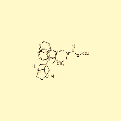 Cc1nc2ccccc2n1C1C[C@H]2CC[C@@H](C1)N2CCC1(c2ccccc2)CCN(C(=O)OC(C)(C)C)CC1